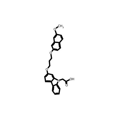 COc1ccc2ccc(OCCCOc3ccc4c5ccccc5n(CC(=O)O)c4c3)cc2c1